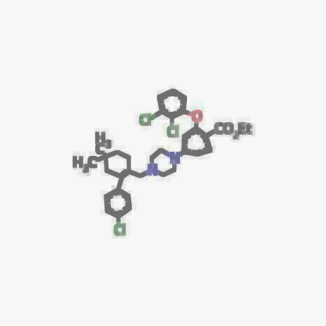 CCOC(=O)c1ccc(N2CCN(CC3=C(c4ccc(Cl)cc4)CC(C)(C)CC3)CC2)cc1Oc1cccc(Cl)c1Cl